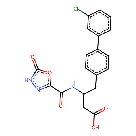 O=C(O)CC(Cc1ccc(-c2cccc(Cl)c2)cc1)NC(=O)c1n[nH]c(=O)o1